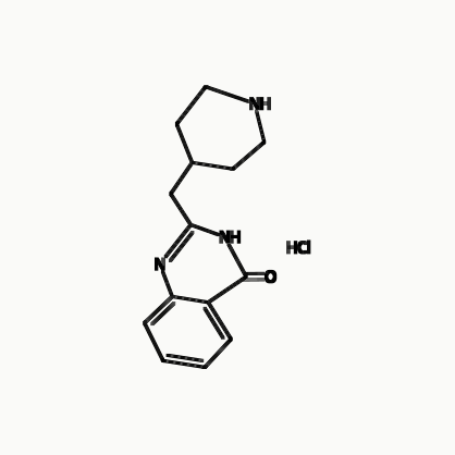 Cl.O=c1[nH]c(CC2CCNCC2)nc2ccccc12